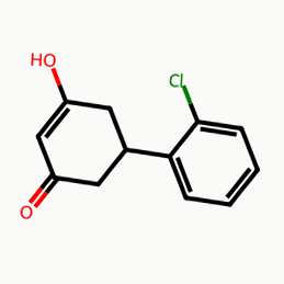 O=C1C=C(O)CC(c2ccccc2Cl)C1